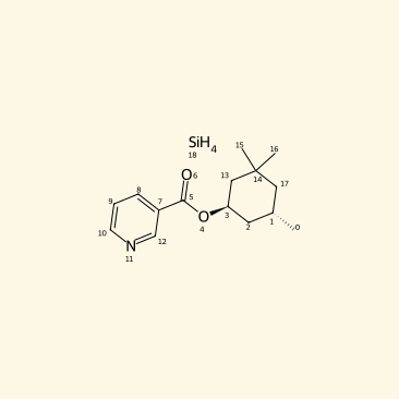 C[C@@H]1C[C@@H](OC(=O)c2cccnc2)CC(C)(C)C1.[SiH4]